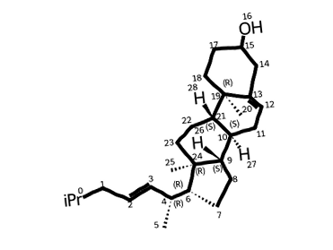 CC(C)CC=C[C@@H](C)[C@H]1CC[C@H]2[C@@H]3CC=C4CC(O)CC[C@]4(C)[C@H]3CC[C@]12C